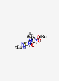 CC(C)(C)OC(=O)N1CCC2(CC1)C(=O)N(Cc1nc(C(C)(C)C)ns1)CN2c1ccccc1